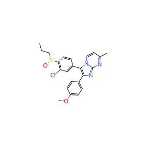 CCC[S+]([O-])c1ccc(-c2c(-c3ccc(OC)cc3)nc3nc(C)ccn23)cc1Cl